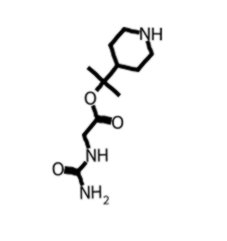 CC(C)(OC(=O)CNC(N)=O)C1CCNCC1